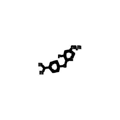 CCOC(=O)c1cnc(Oc2ccc(C(CC)CC)cc2)c(F)c1